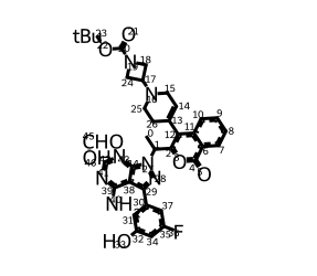 CC(c1oc(=O)c2ccccc2c1C1=CCN(C2CN(C(=O)OC(C)(C)C)C2)CC1)n1nc(-c2cc(O)cc(F)c2)c2c(N)ncnc21.O=CO